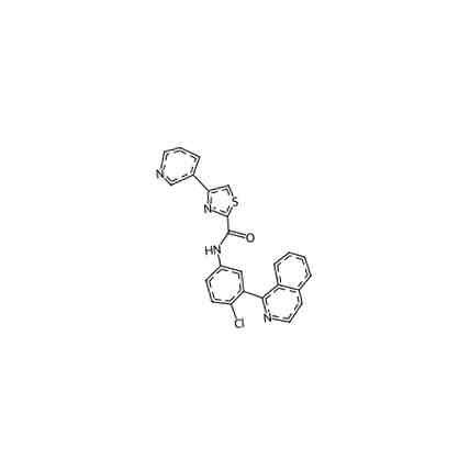 O=C(Nc1ccc(Cl)c(-c2nccc3ccccc23)c1)c1nc(-c2cccnc2)cs1